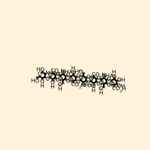 CC(=O)NC1C(O)OC(CO)C(O)C1OC1OC(C(=O)O)C(OC2OC(CO)C(O)C(OC3OC(C(=O)O)C(OC4OC(CO)C(O)C(OC5OC(C(=O)O)C(OC6OC(CO)C(O)C(OC7OC(C(=O)O)C(O)C(O)C7O)C6NC(C)=O)C(O)C5O)C4NC(C)=O)C(O)C3O)C2NC(C)=O)C(O)C1O